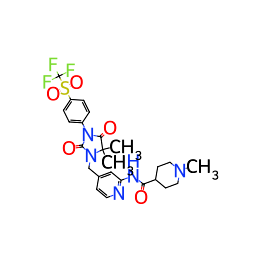 CN1CCC(C(=O)Nc2cc(CN3C(=O)N(c4ccc(S(=O)(=O)C(F)(F)F)cc4)C(=O)C3(C)C)ccn2)CC1